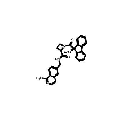 CC(=O)OC1(C(=O)N2CCC2C(=O)NCc2ccc3c(N)nccc3c2)c2ccccc2-c2ccccc21